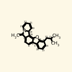 C=C1c2ccc3c(oc4c(CC(C)C)cccc43)c2C2C=CC=CN12